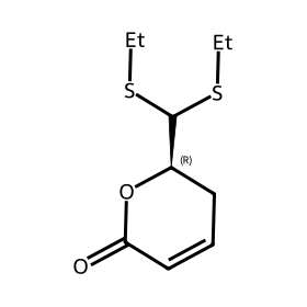 CCSC(SCC)[C@H]1CC=CC(=O)O1